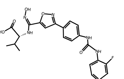 CC(C)[C@@H](N/C(=N/O)c1cc(-c2ccc(NC(=O)Nc3ccccc3F)cc2)no1)C(=O)O